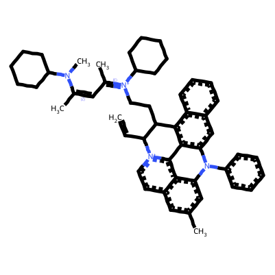 C=CC1C(CC/[N+](=C(C)\C=C(\C)N(C)C2CCCCC2)C2CCCCC2)c2c3c(cc4ccccc24)N(c2ccccc2)c2cc(C)cc4cc[n+]1c-3c24